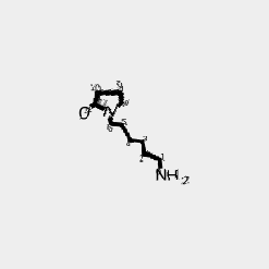 NCCCCCCN1CCCC1=O